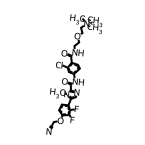 Cn1c(-c2ccc(OCC#N)c(F)c2F)cnc1C(=O)Nc1ccc(C(=O)NCCOCC[N+](C)(C)C)c(Cl)c1